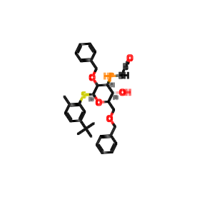 Cc1ccc(C(C)(C)C)cc1S[C@@H]1OC(COCc2ccccc2)[C@@H](O)[C@H](PBB=O)C1OCc1ccccc1